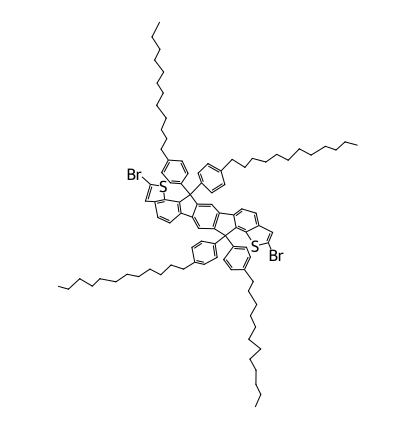 CCCCCCCCCCCCc1ccc(C2(c3ccc(CCCCCCCCCCCC)cc3)c3cc4c(cc3-c3ccc5cc(Br)sc5c32)C(c2ccc(CCCCCCCCCCCC)cc2)(c2ccc(CCCCCCCCCCCC)cc2)c2c-4ccc3cc(Br)sc23)cc1